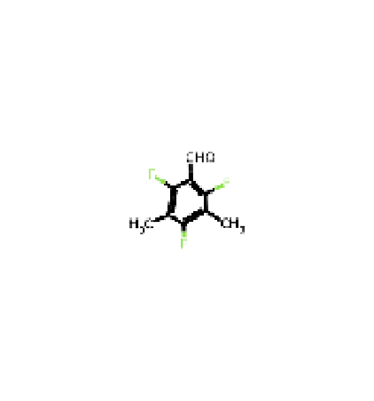 Cc1c(F)c(C)c(F)c(C=O)c1F